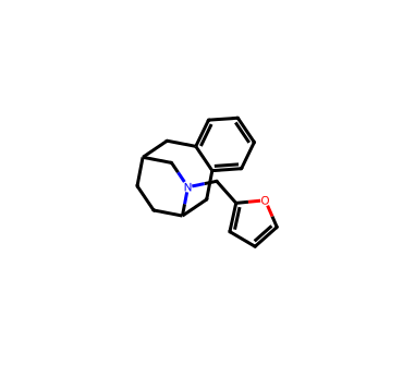 c1coc(CN2CC3CCC2Cc2ccccc2C3)c1